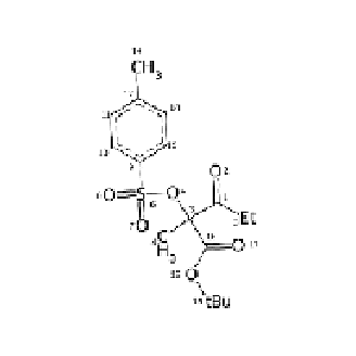 CCC(=O)C(C)(OS(=O)(=O)c1ccc(C)cc1)C(=O)OC(C)(C)C